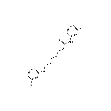 Cc1cc(NC(=O)CCCCCCOc2cccc(Br)c2)ccn1